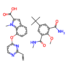 C=Cc1nccc(Oc2cccc3cc(C(=O)O)n(C)c23)n1.CNC(=O)c1cc(C(C)(C)C)cc(C(N)=O)c1OC